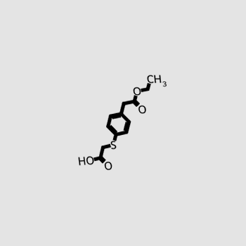 CCOC(=O)Cc1ccc(SCC(=O)O)cc1